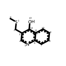 CSCc1cnc2ccccc2c1O